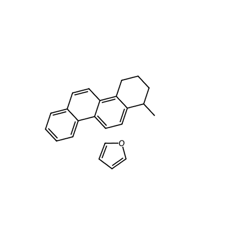 CC1CCCc2c1ccc1c2ccc2ccccc21.c1ccoc1